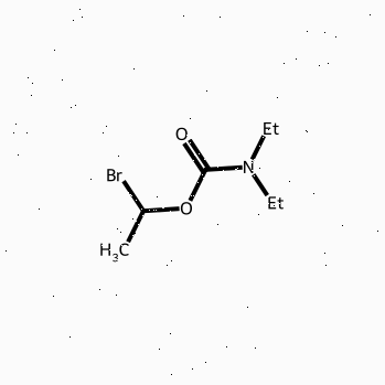 CCN(CC)C(=O)OC(C)Br